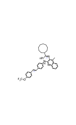 CCC/C(=N\c1c(Nc2ccc(/C=C/c3ccc(OC(F)(F)F)cc3)cc2)nc2ccccc2c1C)C1CCCCCCCC1